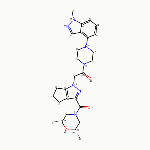 C[C@@H]1CN(C(=O)c2nn(CC(=O)N3CCN(c4cccc5c4cnn5C)CC3)c3c2CCC3)C[C@H](C)O1